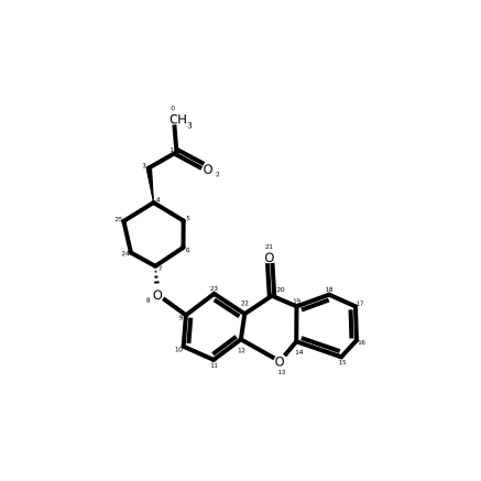 CC(=O)C[C@H]1CC[C@H](Oc2ccc3oc4ccccc4c(=O)c3c2)CC1